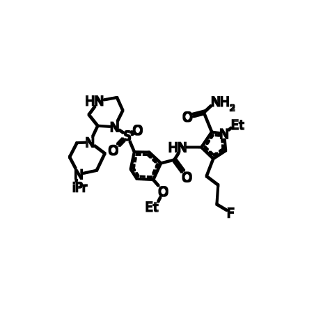 CCOc1ccc(S(=O)(=O)N2CCNCC2N2CCN(C(C)C)CC2)cc1C(=O)Nc1c(CCCF)cn(CC)c1C(N)=O